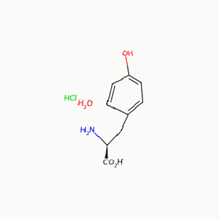 Cl.N[C@@H](Cc1ccc(O)cc1)C(=O)O.O